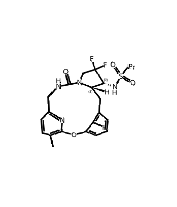 Cc1ccc2nc1Oc1cccc(c1F)C[C@H]1[C@@H](NS(=O)(=O)C(C)C)C(F)(F)CN1C(=O)NC2